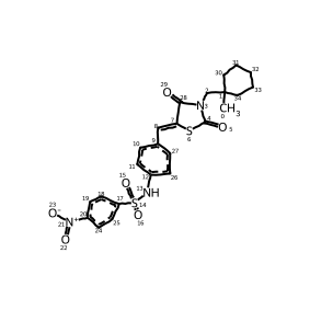 CC1(CN2C(=O)SC(=Cc3ccc(NS(=O)(=O)c4ccc([N+](=O)[O-])cc4)cc3)C2=O)CCCCC1